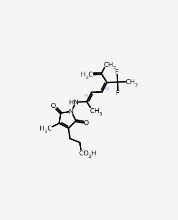 C=C(C)/C(=C\C=C(/C)NN1C(=O)C(C)=C(CCC(=O)O)C1=O)C(C)(F)F